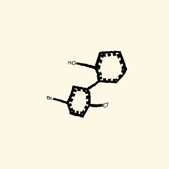 Oc1ccccc1-c1cc(Br)ccc1Cl